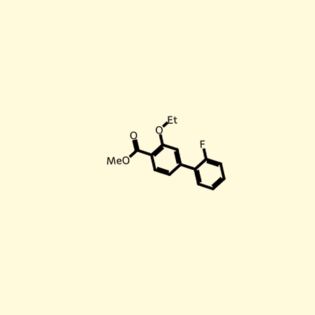 CCOc1cc(-c2ccccc2F)ccc1C(=O)OC